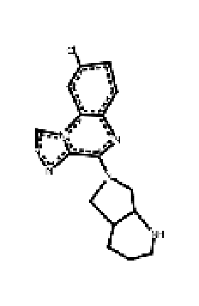 Clc1ccc2nc(N3CC4CCCNC4C3)c3nncn3c2c1